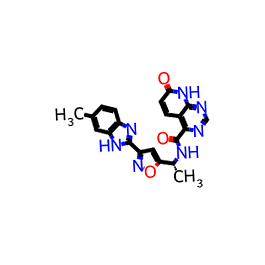 Cc1ccc2nc(-c3cc([C@@H](C)NC(=O)c4ncnc5[nH]c(=O)ccc45)on3)[nH]c2c1